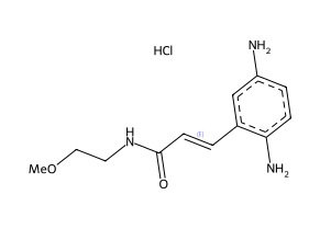 COCCNC(=O)/C=C/c1cc(N)ccc1N.Cl